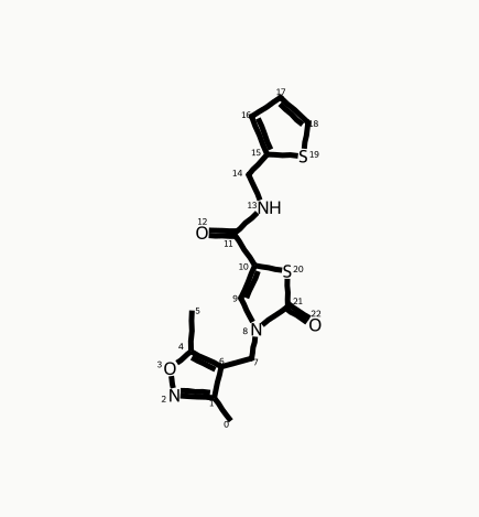 Cc1noc(C)c1Cn1cc(C(=O)NCc2cccs2)sc1=O